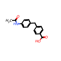 CC(=O)Nc1ccc(Cc2ccc(C(=O)O)cc2)cc1